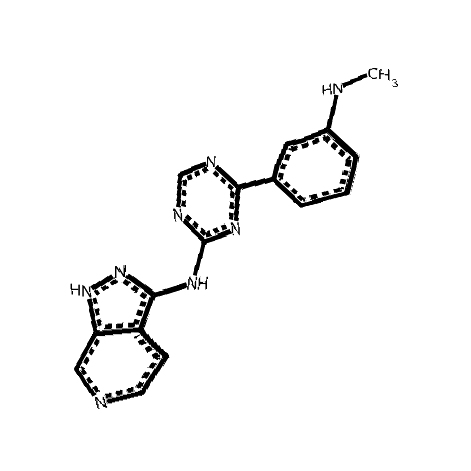 CNc1cccc(-c2ncnc(Nc3n[nH]c4cnccc34)n2)c1